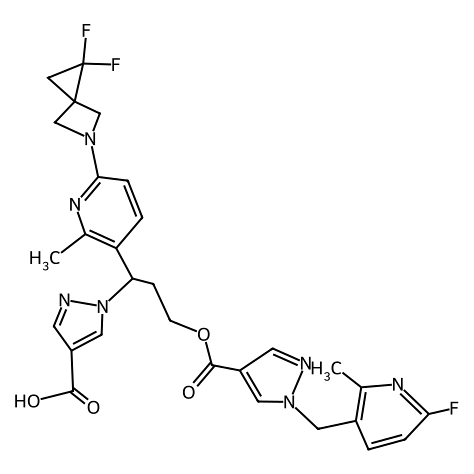 Cc1nc(F)ccc1Cn1cc(C(=O)OCCC(c2ccc(N3CC4(C3)CC4(F)F)nc2C)n2cc(C(=O)O)cn2)cn1